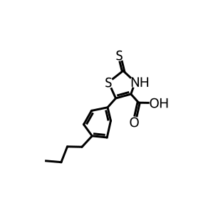 CCCCc1ccc(-c2sc(=S)[nH]c2C(=O)O)cc1